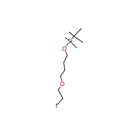 CC(C)(C)[Si](C)(C)OCCCCOCCI